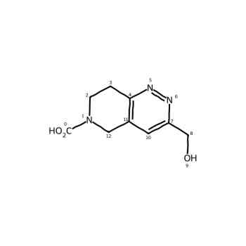 O=C(O)N1CCc2nnc(CO)cc2C1